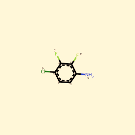 Nc1ccc(Cl)c(F)c1F